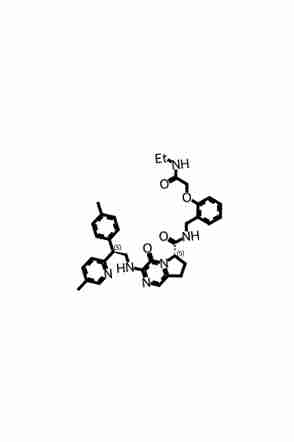 CCNC(=O)COc1ccccc1CNC(=O)[C@@H]1CCc2cnc(NC[C@H](c3ccc(C)cc3)c3ccc(C)cn3)c(=O)n21